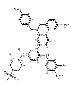 COc1ccc(CN(Cc2ccc(OC)cc2)c2cc(-c3cc([C@@H](C)N4CCN(S(C)(=O)=O)C[C@@H]4C)cnc3Nc3cnc(OC)c(F)c3)nc(C)n2)cc1